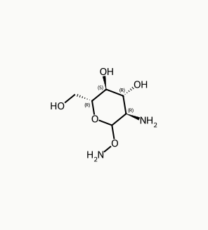 NOC1O[C@H](CO)[C@@H](O)[C@H](O)[C@H]1N